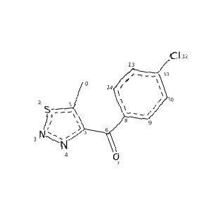 Cc1snnc1C(=O)c1ccc(Cl)cc1